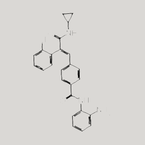 Nc1ccccc1NC(=O)c1ccc(/C=C(/C(=O)NC2CC2)c2ccccc2Cl)cc1